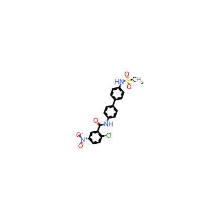 CS(=O)(=O)Nc1ccc(-c2ccc(NC(=O)c3cc([N+](=O)[O-])ccc3Cl)cc2)cc1